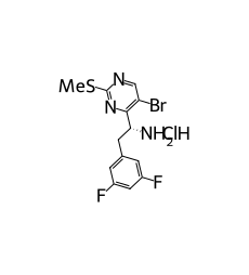 CSc1ncc(Br)c([C@H](N)Cc2cc(F)cc(F)c2)n1.Cl